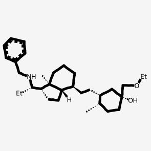 CCOC[C@@]1(O)CC[C@H](C)[C@H](CC[C@@H]2CCC[C@]3(C)[C@@H]([C@H](CC)NCc4ccccc4)CC[C@@H]23)C1